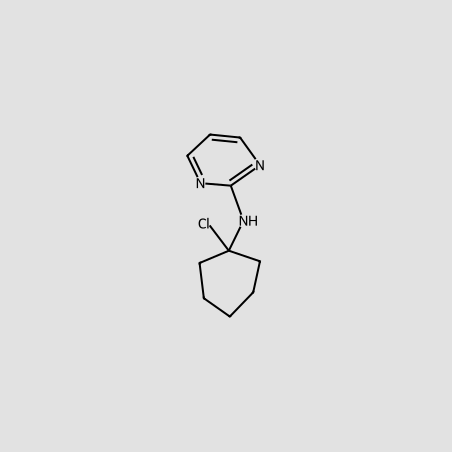 ClC1(Nc2ncccn2)CCCCC1